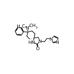 CN(C)[C@]1(c2ccccc2)CC[C@]2(CC1)CN(CCn1ccnc1)C(=O)N2